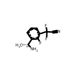 C[C@@H](N)c1cccc(C(F)(F)C#N)c1F